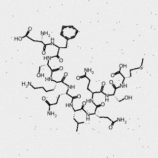 CSCC[C@H](NC(=O)[C@H](CO)NC(=O)[C@H](CCC(N)=O)NC(=O)[C@H](CCC(N)=O)NC(=O)[C@H](CC(C)C)NC(=O)[C@H](CCC(N)=O)NC(=O)[C@H](CCCCN)NC(=O)[C@H](CO)NC(=O)[C@H](Cc1ccccc1)NC(=O)[C@@H](N)CC(=O)O)C(=O)O